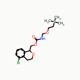 C[Si](C)(C)CCOCNC(=O)OCC1OCCc2c(Br)cccc21